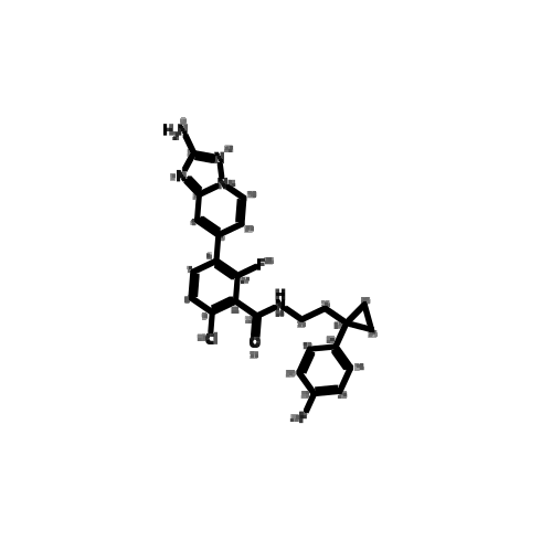 Nc1nc2cc(-c3ccc(Cl)c(C(=O)NCCC4(c5ccc(F)cc5)CC4)c3F)ccn2n1